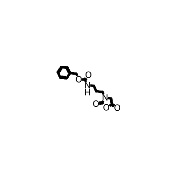 O=C1CN(CCCNC(=O)OCc2ccccc2)C(=O)O1